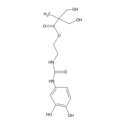 CC(CO)(CO)C(=O)OCCNC(=O)Nc1ccc(O)c(O)c1